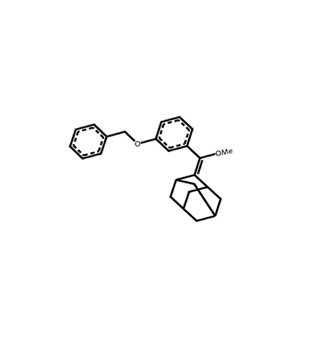 COC(=C1C2CC3CC(C2)CC1C3)c1cccc(OCc2ccccc2)c1